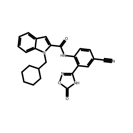 N#Cc1ccc(NC(=O)c2cc3ccccc3n2CC2CCCCC2)c(-c2noc(=O)[nH]2)c1